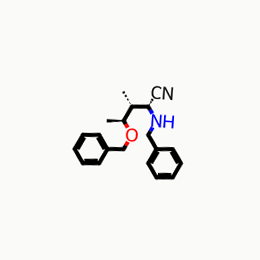 C[C@H]([C@H](C#N)NCc1ccccc1)[C@H](C)OCc1ccccc1